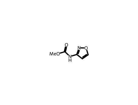 COC(=O)Nc1ccon1